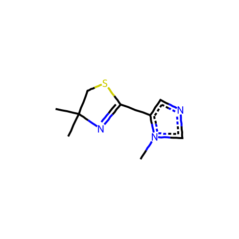 Cn1cncc1C1=NC(C)(C)CS1